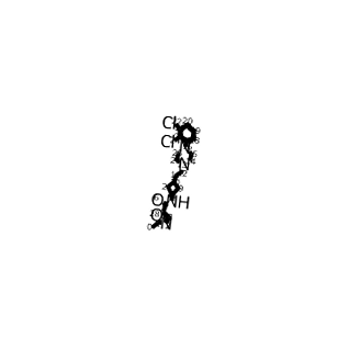 Cc1ncc(C(=O)NC2CC(CCN3CCN(c4cccc(Cl)c4Cl)CC3)C2)o1